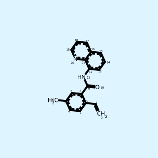 C=Cc1ccc(C)cc1C(=O)Nc1cccc2cccnc12